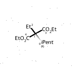 CCC[C@@H](C)C(CC)(C(=O)OCC)C(=O)OCC